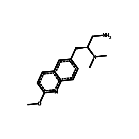 COc1ccc2cc(C[C@@H](CN)N(C)C)ccc2n1